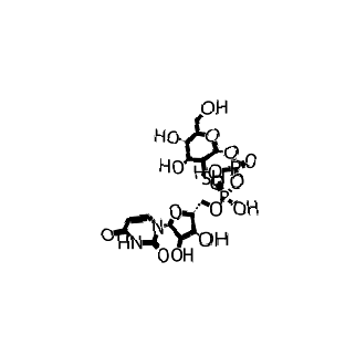 O=c1ccn([C@@H]2O[C@H](COP(=O)(O)OP(=O)(O)O[C@H]3OC(CO)[C@@H](O)[C@H](O)C3S)[C@H](O)C2O)c(=O)[nH]1